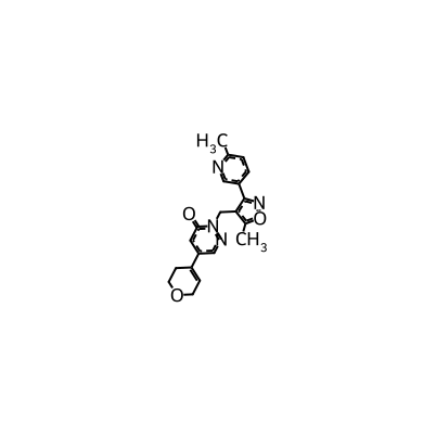 Cc1ccc(-c2noc(C)c2Cn2ncc(C3=CCOCC3)cc2=O)cn1